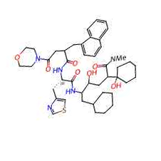 CNC(=O)C(CC(O)C(CC1CCCCC1)NC(=O)[C@H](Cc1cscn1)NC(=O)C(CC(=O)N1CCOCC1)Cc1cccc2ccccc12)C1(O)CCCCC1